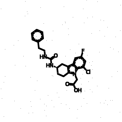 O=C(O)Cn1c2c(c3cc(F)cc(Cl)c31)C[C@@H](NC(=O)NCCc1ccccc1)CC2